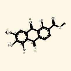 COC(=O)c1ccc2c(c1Br)C(=O)c1cc(N)c(O)c(Br)c1C2=O